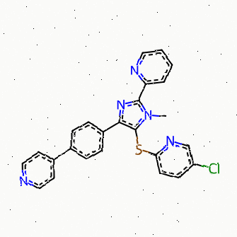 Cn1c(-c2ccccn2)nc(-c2ccc(-c3ccncc3)cc2)c1Sc1ccc(Cl)cn1